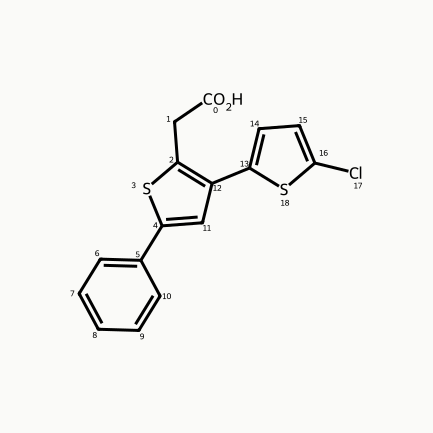 O=C(O)Cc1sc(-c2ccccc2)cc1-c1ccc(Cl)s1